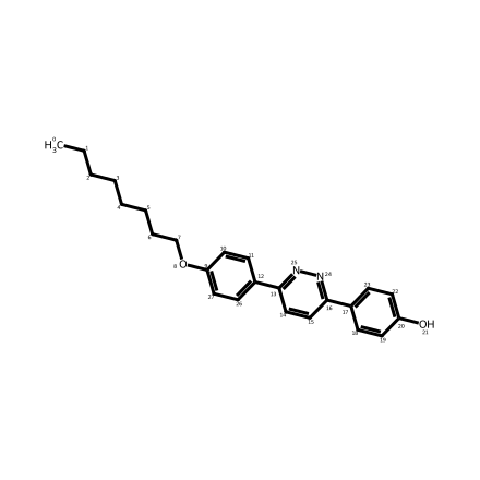 CCCCCCCCOc1ccc(-c2ccc(-c3ccc(O)cc3)nn2)cc1